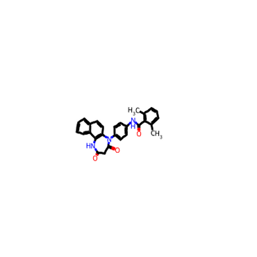 Cc1cccc(C)c1C(=O)Nc1ccc(N2C(=O)CC(=O)Nc3c2ccc2ccccc32)cc1